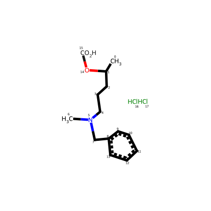 CC(CCCN(C)Cc1ccccc1)OC(=O)O.Cl.Cl